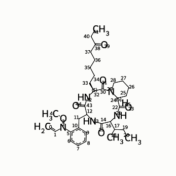 C=CN(OC)c1ccccc1CC1NC(=O)C(C(C)CC)NC(=O)[C@@H]2CCCCN2C(=O)[C@H](CCCCCC(=O)CC)NC1=O